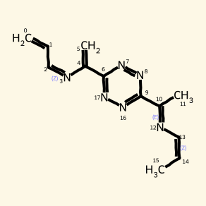 C=C/C=N\C(=C)c1nnc(/C(C)=N/C=C\C)nn1